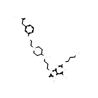 CCCCOc1nc(N)c2[nH]c(=O)n(CCCNC3CCN(CCOc4cccc(CC(=O)O)c4)CC3)c2n1